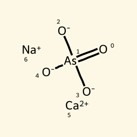 O=[As]([O-])([O-])[O-].[Ca+2].[Na+]